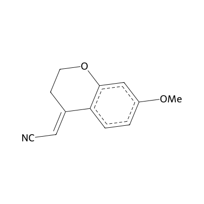 COc1ccc2c(c1)OCCC2=CC#N